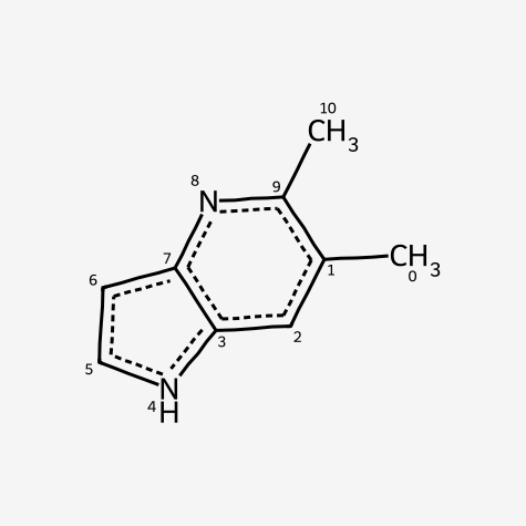 Cc1cc2[nH]ccc2nc1C